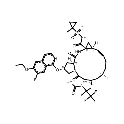 CCOc1cc2ccnc(O[C@@H]3C[C@H]4C(=O)N[C@]5(C(=O)NS(=O)(=O)C6(C)CC6)C[C@H]5C=CCC[C@H](C)C[C@@H](C)[C@H](N(C(=O)O)C(C)(C)C(C)(F)F)C(=O)N4C3)c2cc1F